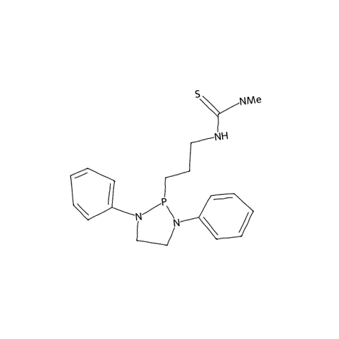 CNC(=S)NCCCP1N(c2ccccc2)CCN1c1ccccc1